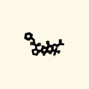 CNCCn1c(C(F)(F)F)nc2sc(N3CCCC3C(=O)NCc3ccccc3)nc2c1=O